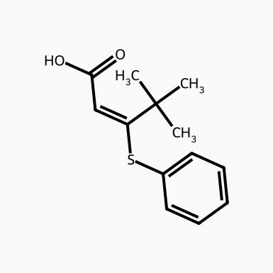 CC(C)(C)C(=CC(=O)O)Sc1ccccc1